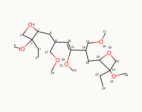 CCC1(OC)COC1CC(C=C(OC)C(COC)CC1OCC1(CC)OC)COC